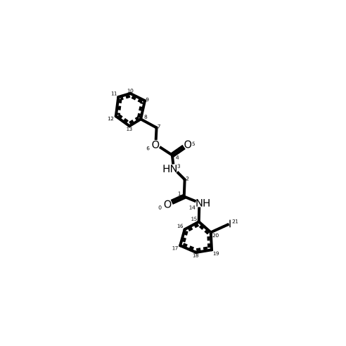 O=C(CNC(=O)OCc1ccccc1)Nc1ccccc1I